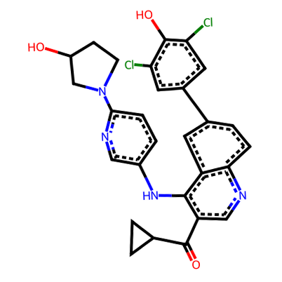 O=C(c1cnc2ccc(-c3cc(Cl)c(O)c(Cl)c3)cc2c1Nc1ccc(N2CCC(O)C2)nc1)C1CC1